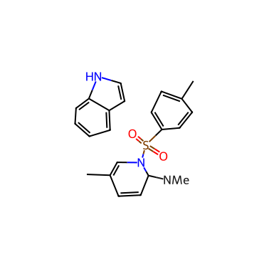 CNC1C=CC(C)=CN1S(=O)(=O)c1ccc(C)cc1.c1ccc2[nH]ccc2c1